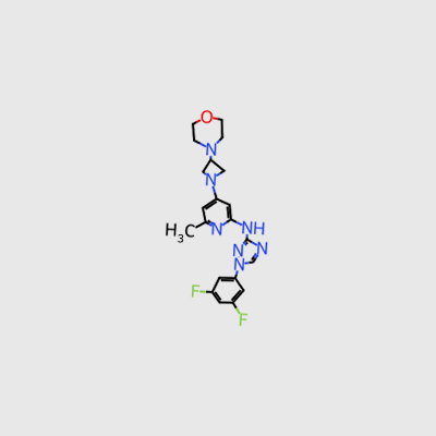 Cc1cc(N2CC(N3CCOCC3)C2)cc(Nc2ncn(-c3cc(F)cc(F)c3)n2)n1